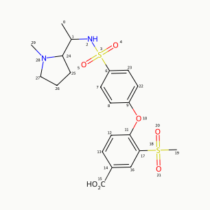 CC(NS(=O)(=O)c1ccc(Oc2ccc(C(=O)O)cc2S(C)(=O)=O)cc1)C1CCCN1C